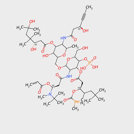 C=CC(=O)O[C@@H](CC(=O)NC1C(OCC2OC(C)C(NC(=O)C[C@H](O)C#CC)C(OC(=O)C[C@H](O)C(C)(C)CC(C)(C)O)C2O)OC(CO)C(OP(=O)(O)O)C1OC(=O)C[C@H](OC(=O)PC)C(C)CC(C)(C)C)N(C)C(C)(C)C